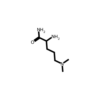 CN(C)CCCC(N)C(N)=O